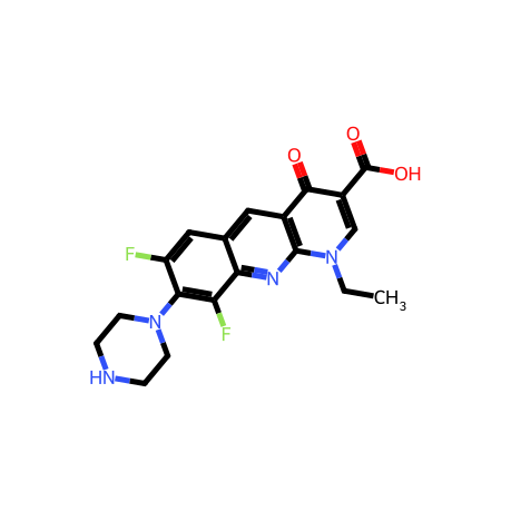 CCn1cc(C(=O)O)c(=O)c2cc3cc(F)c(N4CCNCC4)c(F)c3nc21